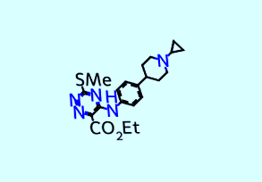 CCOC(=O)c1nnc(SC)nc1Nc1ccc(C2CCN(C3CC3)CC2)cc1